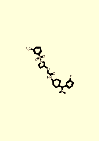 CN(C)C(c1cccc(F)c1)C1CCC(NC(=O)COC2CCN(S(=O)(=O)c3cccc(C(F)(F)F)c3)C2)CC1